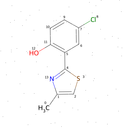 Cc1csc(-c2cc(Cl)ccc2O)n1